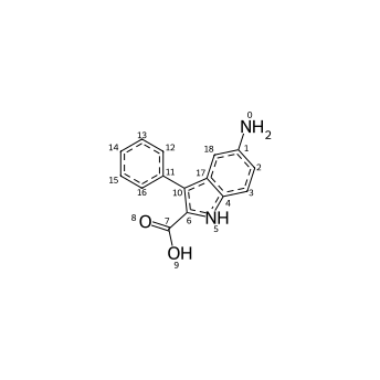 Nc1ccc2[nH]c(C(=O)O)c(-c3ccccc3)c2c1